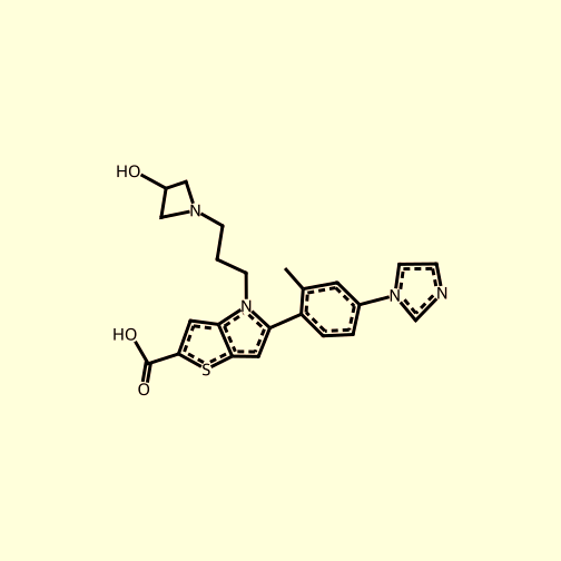 Cc1cc(-n2ccnc2)ccc1-c1cc2sc(C(=O)O)cc2n1CCCN1CC(O)C1